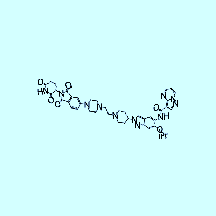 CC(C)Oc1cc2nn(C3CCN(CCN4CCN(c5ccc6c(c5)C(=O)N(C5CCC(=O)NC5=O)C6=O)CC4)CC3)cc2cc1NC(=O)c1cnn2cccnc12